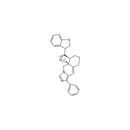 C[C@]12Cn3cnc(-c4ccccc4)c3C=C1CCC[C@@H]2C(=O)C1CSc2ccccc21